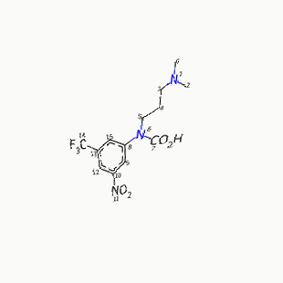 CN(C)CCCN(C(=O)O)c1cc([N+](=O)[O-])cc(C(F)(F)F)c1